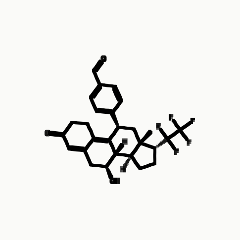 C[C@]12C[C@H](c3ccc(C=O)cc3)C3=C4CCC(=O)C=C4C[C@H](O)[C@H]3[C@@H]1CC[C@H]2C(F)(F)C(F)(F)F